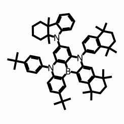 CC(C)(C)c1ccc(N2c3ccc(C(C)(C)C)cc3B3c4cc5c(cc4N(c4ccc6c(c4)C(C)(C)CCC6(C)C)c4cc(N6c7ccccc7C7(C)CCCCC67C)cc2c43)C(C)(C)CCC5(C)C)cc1